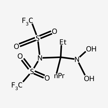 CCCC(CC)(N(O)O)N(S(=O)(=O)C(F)(F)F)S(=O)(=O)C(F)(F)F